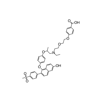 CCN(CCOCCOc1ccc(C(=O)O)cc1)CC(C)Oc1ccc(Oc2c(-c3ccc(S(C)(=O)=O)cc3)ccc3cc(O)ccc23)cc1